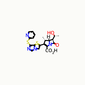 C[C@@H](O)[C@H]1C(=O)N2C(C(=O)O)=C(c3cn4cnc(Sc5ccccn5)c4s3)[C@H](C)[C@H]12